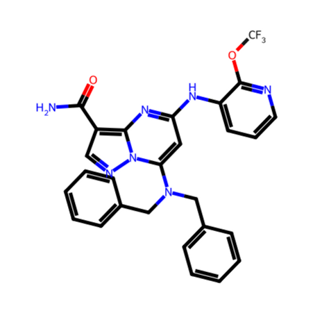 NC(=O)c1cnn2c(N(Cc3ccccc3)Cc3ccccc3)cc(Nc3cccnc3OC(F)(F)F)nc12